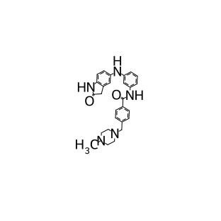 CN1CCN(Cc2ccc(C(=O)Nc3cccc(Nc4ccc5c(c4)CC(=O)N5)c3)cc2)CC1